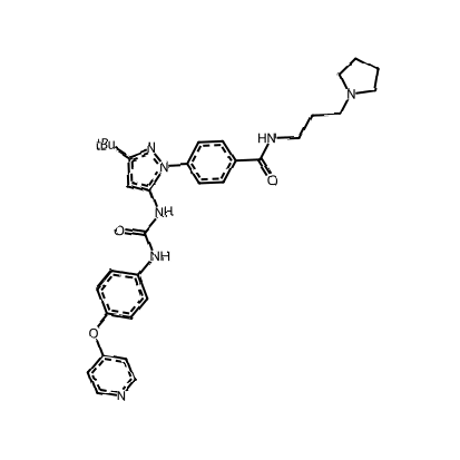 CC(C)(C)c1cc(NC(=O)Nc2ccc(Oc3ccncc3)cc2)n(-c2ccc(C(=O)NCCCN3CCCC3)cc2)n1